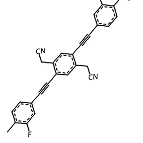 Cc1ccc(C#Cc2cc(CC#N)c(C#Cc3ccc(C(F)(F)F)c(F)c3)cc2CC#N)cc1F